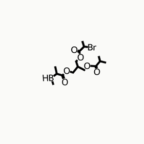 CBC(C)C(=O)OCC(COC(=O)C(C)C)COC(=O)C(C)Br